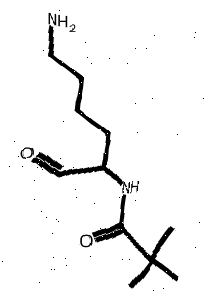 CC(C)(C)C(=O)NC(C=O)CCCCN